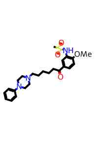 COc1ccc(C(=O)CCCCCN2CCN(c3ccccc3)CC2)cc1NS(C)(=O)=O